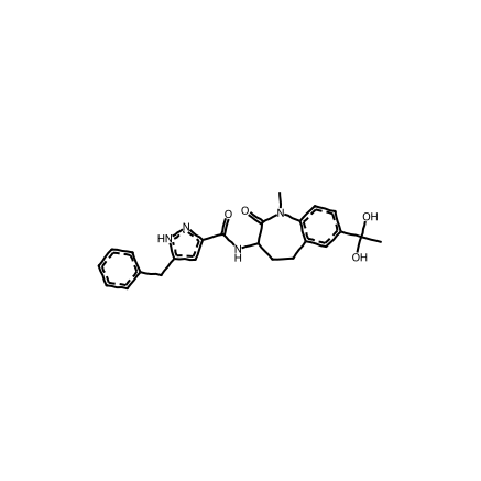 CN1C(=O)C(NC(=O)c2cc(Cc3ccccc3)[nH]n2)CCc2cc(C(C)(O)O)ccc21